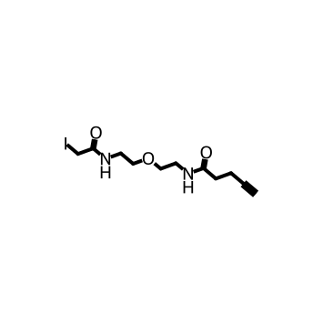 C#CCCC(=O)NCCOCCNC(=O)CI